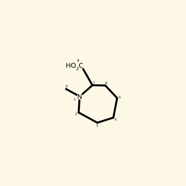 CN1CCCCCC1C(=O)O